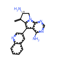 C=C1c2c(-c3cnc4ccccc4c3)c3c(N)ncnc3n2C[C@H]1N